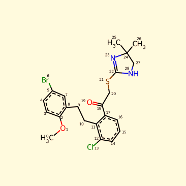 COc1ccc(Br)cc1CCc1c(Cl)cccc1C(=O)CSC1=NC(C)(C)CN1